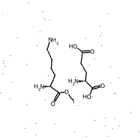 NCCCC[C@H](N)C(=O)OI.N[C@@H](CCC(=O)O)C(=O)O